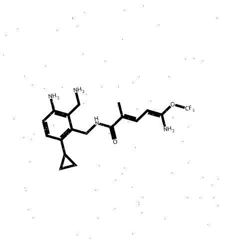 C/C(=C\C=C(/N)OC(F)(F)F)C(=O)NCc1c(C2CC2)ccc(N)c1CN